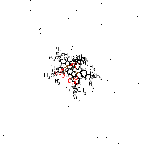 CC(C)(C)c1ccc(S(c2ccc(C(C)(C)C)cc2)(c2ccc(C(C)(C)C)cc2)c2c(S(=O)(=O)O)cc(S(=O)(=O)O)c(S(c3ccc(C(C)(C)C)cc3)(c3ccc(C(C)(C)C)cc3)c3ccc(C(C)(C)C)cc3)c2S(=O)(=O)O)cc1